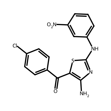 Nc1nc(Nc2cccc([N+](=O)[O-])c2)sc1C(=O)c1ccc(Cl)cc1